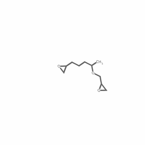 CC(CCCC1CO1)OCC1CO1